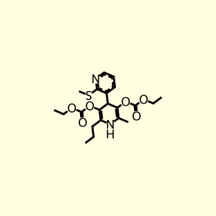 CCCC1=C(OC(=O)OCC)C(c2cccnc2SC)C(OC(=O)OCC)=C(C)N1